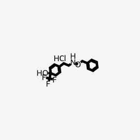 Cl.OC1(C(F)(F)F)C=CC(CCNOCc2ccccc2)=CC1